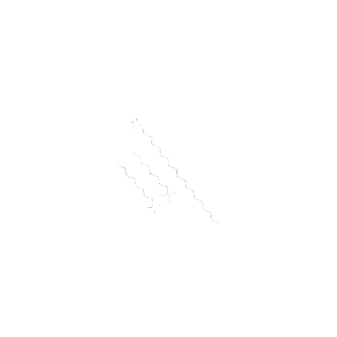 CCCCCCCCCCCCCCCCCCOP(=O)([O-])[O-].CCCCCCCC[N+](C)(C)C.CCCCCCCC[N+](C)(C)C